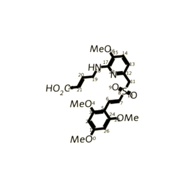 COc1cc(OC)c(/C=C/S(=O)(=O)Cc2ccc(OC)c(NCC=CC(=O)O)n2)c(OC)c1